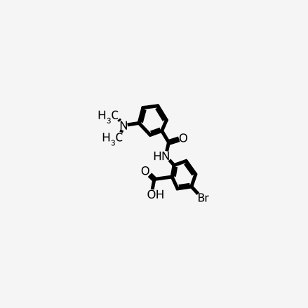 CN(C)c1cccc(C(=O)Nc2ccc(Br)cc2C(=O)O)c1